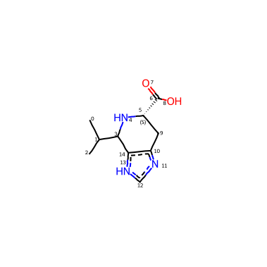 CC(C)C1N[C@H](C(=O)O)Cc2nc[nH]c21